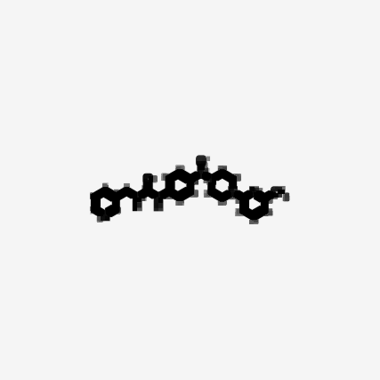 O=C(NCc1cccnc1)Nc1ccc([S+]([O-])N2CCN(c3cccc(C(F)(F)F)n3)CC2)cc1